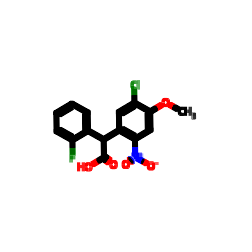 COc1cc([N+](=O)[O-])c(C(C(=O)O)c2ccccc2F)cc1Cl